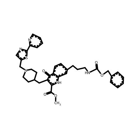 COC(=O)c1[nH]c2cc(CCCNC(=O)OCc3ccccc3)ccc2c(=O)c1CC1CCN(Cc2cnc(-c3ccccn3)s2)CC1